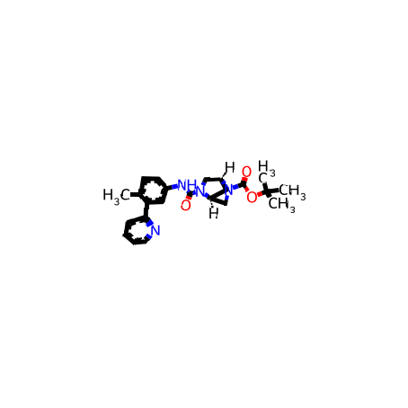 Cc1ccc(NC(=O)N2C[C@@H]3C[C@H]2CN3C(=O)OC(C)(C)C)cc1-c1ccccn1